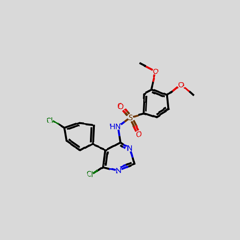 COc1ccc(S(=O)(=O)Nc2ncnc(Cl)c2-c2ccc(Cl)cc2)cc1OC